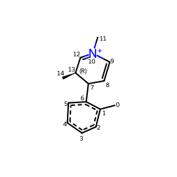 Cc1ccccc1C1C=C[N+](C)=C[C@@H]1C